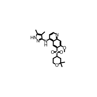 COc1cc2nccc(Nc3n[nH]c(C)c3C)c2cc1S(=O)(=O)C1CCOC(C)(C)C1